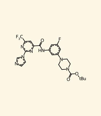 CC(C)(C)OC(=O)N1CCN(c2cc(F)cc(NC(=O)c3cc(C(F)(F)F)nc(-n4ccnc4)n3)c2)CC1